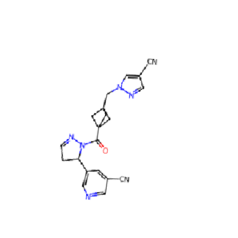 N#Cc1cncc(C2CC=NN2C(=O)C23CC(Cn4cc(C#N)cn4)(C2)C3)c1